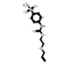 C=CCOCCOC(=O)Nc1ccc(S(N)(=O)=O)cc1